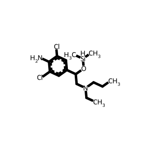 CCCN(CC)CC(O[SiH](C)C)c1cc(Cl)c(N)c(Cl)c1